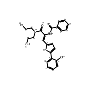 O=C(N/C(=C\c1ccc(-c2ccccc2Cl)s1)C(=O)N(CCO)CCO)c1ccccc1